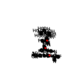 CC[C@@H]([C@H](C)O)n1ncn(-c2ccc(N3CCN(c4ccc(OCC5CO[C@@](Cn6cncn6)(c6ccc(F)cc6F)C5)cc4)CC3)cc2)c1=O.C[C@@H](c1nc(-c2ccc(C#N)cc2)cs1)[C@](O)(Cn1cncn1)c1ccc(F)cc1F.C[C@@H](c1ncncc1F)[C@](O)(Cn1cncn1)c1ccc(F)cc1F.OC[C@H]1O[C@@H](OC2[C@@H](CO)O[C@H](O)[C@H](O)[C@H]2O)[C@H](O)[C@@H](O)C1O[C@@H]1O[C@H](CO)[C@@H](O)[C@H](O)[C@H]1O